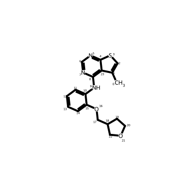 Cc1csc2ncnc(Nc3ccccc3OCC3CCOC3)c12